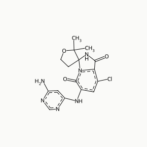 CC1(C)OCCC12NC(=O)c1c(Cl)cc(Nc3cc(N)ncn3)c(=O)n12